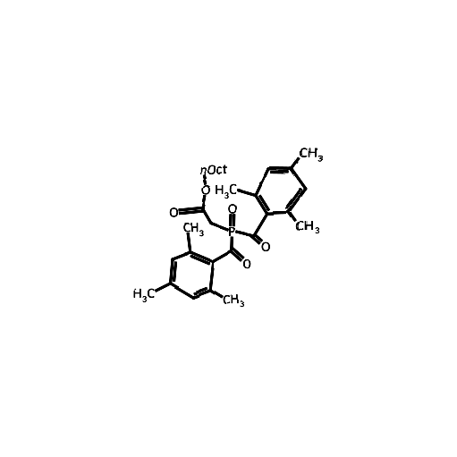 CCCCCCCCOC(=O)CP(=O)(C(=O)c1c(C)cc(C)cc1C)C(=O)c1c(C)cc(C)cc1C